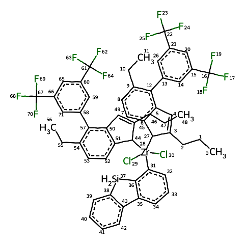 CCCC1=Cc2c(ccc(CC)c2-c2cc(C(F)(F)F)cc(C(F)(F)F)c2)[CH]1[Zr]([Cl])([Cl])([c]1cccc2c1[SiH2]c1ccccc1-2)[CH]1C(CCC)=Cc2c1ccc(CC)c2-c1cc(C(F)(F)F)cc(C(F)(F)F)c1